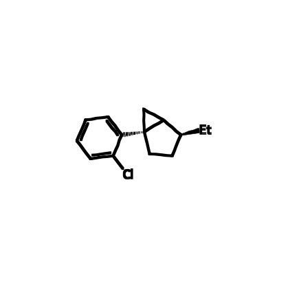 CC[C@H]1CC[C@@]2(c3ccccc3Cl)CC12